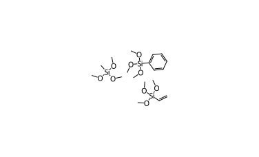 C=C[Si](OC)(OC)OC.CO[Si](C)(OC)OC.CO[Si](OC)(OC)c1ccccc1